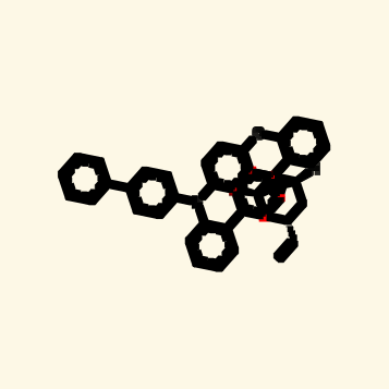 C=C[C@@H]1C[C@H]2CCC[C@@H](C1)C21c2ccccc2Oc2ccc(N(c3ccc(-c4ccccc4)cc3)c3ccccc3-c3ccccc3)cc21